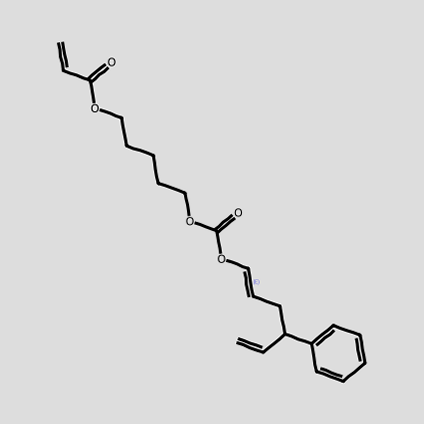 C=CC(=O)OCCCCCOC(=O)O/C=C/CC(C=C)c1ccccc1